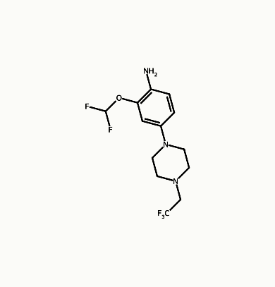 Nc1ccc(N2CCN(CC(F)(F)F)CC2)cc1OC(F)F